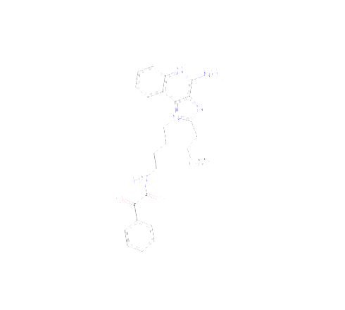 COCCc1nc2c(N)nc3ccccc3c2n1CCCCNC(=O)C(=O)c1ccccc1